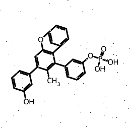 Cc1c(-c2cccc(O)c2)cc2c(c1-c1cccc(OP(=O)(O)O)c1)-c1cccc(c1)O2